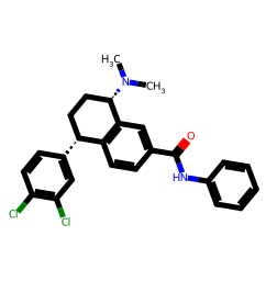 CN(C)[C@H]1CC[C@@H](c2ccc(Cl)c(Cl)c2)c2ccc(C(=O)Nc3ccccc3)cc21